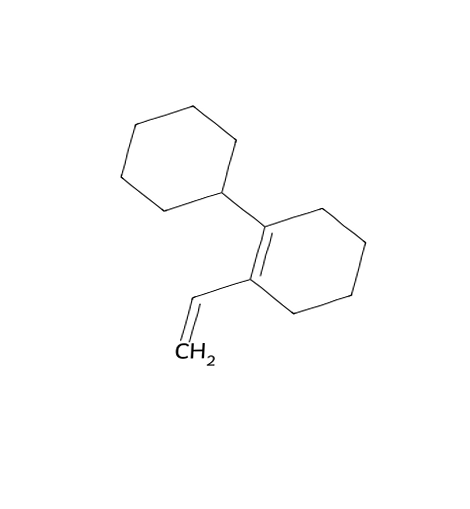 C=CC1=C(C2CCCCC2)CCCC1